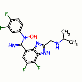 CC(C)NCc1nc2c(C(=N)N(O)c3ccc(F)c(Cl)c3)cc(F)c(F)c2[nH]1